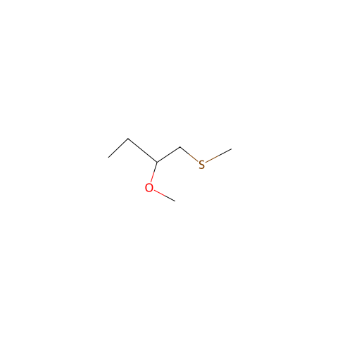 CCC(CSC)OC